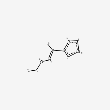 CCON=C(C)c1cs[c]n1